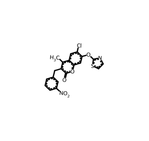 Cc1c(Cc2cccc([N+](=O)[O-])c2)c(=O)oc2cc(Oc3nccs3)c(Cl)cc12